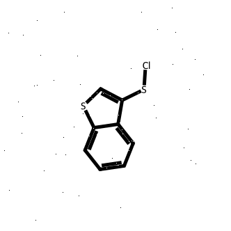 ClSc1csc2ccccc12